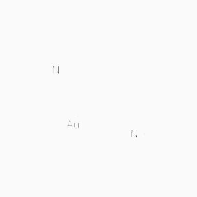 N#[C][Au-][C]#N